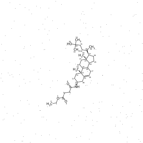 CCOC(=O)CCC(=O)N[C@H]1CC[C@@]2(C)C(=CCC3C2CC[C@@]2(C)C3CC[C@@H]2C(C)CCC(C)(C)O)C1